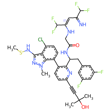 CSNc1nn(C)c2c(-c3ccc(C#CC(C)(C)O)nc3C(Cc3cc(F)cc(F)c3)NC(=O)CN/C(=C\C(=N)C(F)F)C(F)F)ccc(Cl)c12